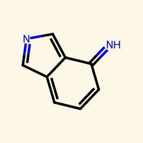 N=C1C=CC=C2C=NC=C12